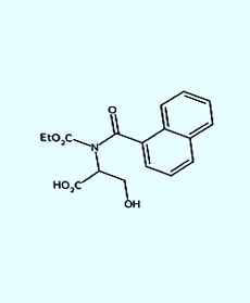 CCOC(=O)N(C(=O)c1cccc2ccccc12)C(CO)C(=O)O